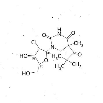 CC(C)(C)C(=O)C1(C)CN([C@@H]2O[C@H](CO)[C@@H](O)C2Cl)C(=O)NC1=O